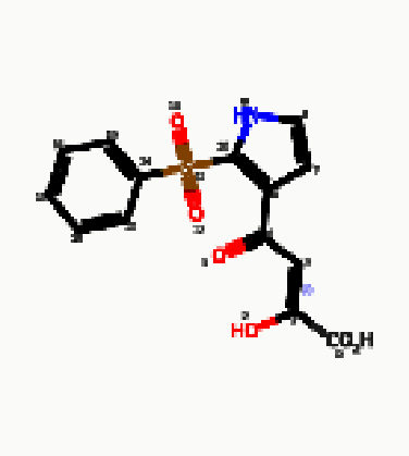 O=C(O)/C(O)=C/C(=O)c1cc[nH]c1S(=O)(=O)c1ccccc1